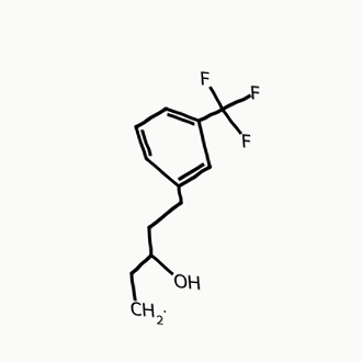 [CH2]CC(O)CCc1cccc(C(F)(F)F)c1